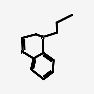 CCCN1CC=Nc2ccccc21